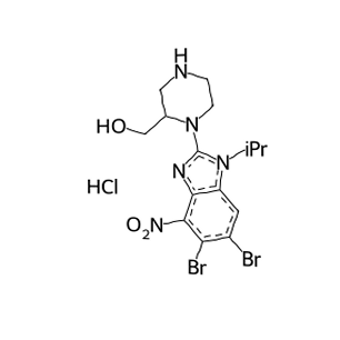 CC(C)n1c(N2CCNCC2CO)nc2c([N+](=O)[O-])c(Br)c(Br)cc21.Cl